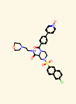 O=C(NCCN1CCOCC1)C1CN(S(=O)(=O)c2ccc3cc(Cl)ccc3c2)CCN1C(=O)c1ccc(-c2cc[n+]([O-])cc2)cc1